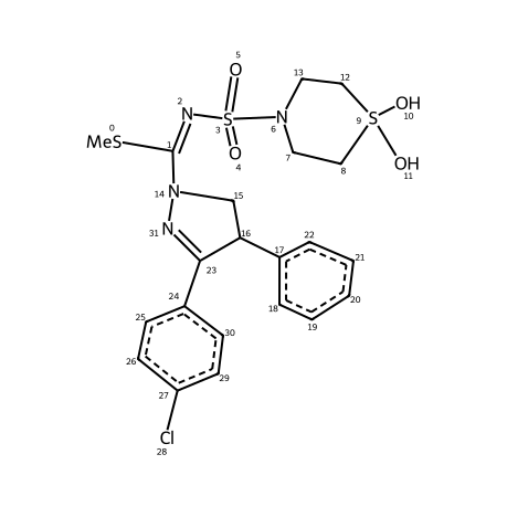 CSC(=NS(=O)(=O)N1CCS(O)(O)CC1)N1CC(c2ccccc2)C(c2ccc(Cl)cc2)=N1